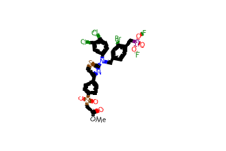 COC(=O)CS(=O)(=O)c1ccc(-c2csc(N(Cc3ccc(CP(=O)(OF)OF)c(Br)c3)c3ccc(Cl)c(Cl)c3)n2)cc1